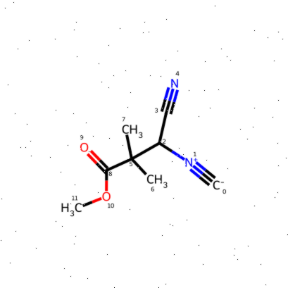 [C-]#[N+]C(C#N)C(C)(C)C(=O)OC